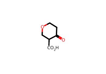 O=C(O)C1COCCC1=O